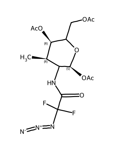 CC(=O)OCC1O[C@@H](OC(C)=O)C(NC(=O)C(F)(F)N=[N+]=[N-])[C@@H](C)[C@H]1OC(C)=O